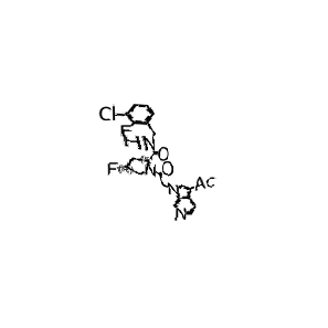 CC(=O)c1cn(CC(=O)N2C[C@H](F)C[C@H]2C(=O)NCc2cccc(Cl)c2F)c2cnccc12